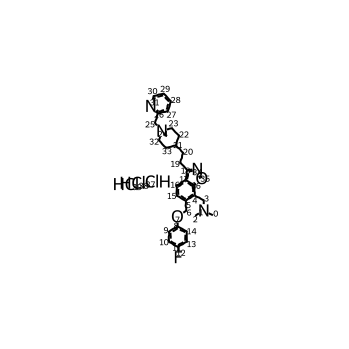 CN(C)Cc1c(COc2ccc(F)cc2)ccc2c(CCC3CCN(Cc4ccccn4)CC3)noc12.Cl.Cl.Cl